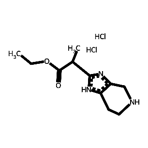 CCOC(=O)C(C)c1nc2c([nH]1)CCNC2.Cl.Cl